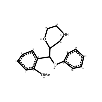 COc1ccccc1C(Oc1ccccc1)C1CNCCO1